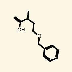 C=C(O)C(C)CCOCc1ccccc1